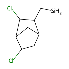 [SiH3]CC1C2CC(Cl)C(C2)C1Cl